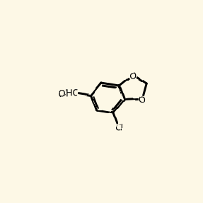 O=Cc1cc(Cl)c2c(c1)OCO2